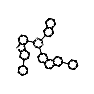 c1ccc(-c2ccc3c(ccc4ccc(-c5nc(-c6ccc7ccccc7c6)nc(-c6cccc7oc8cc(-c9ccccc9)ccc8c67)n5)cc43)c2)cc1